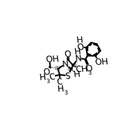 CC1(C)S[C@H]2N(C(=O)[C@]2(C)NC(=O)c2c(O)cccc2O)[C@H]1C(=O)O